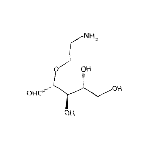 NCCO[C@@H](C=O)[C@H](O)[C@H](O)CO